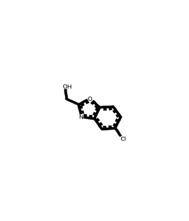 OCc1nc2cc(Cl)ccc2o1